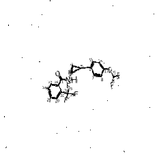 O=C(N[C@@H]1CC1c1ccc(OC(F)F)cc1)c1ccccc1C(F)(F)F